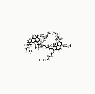 CC1(C)C(/C=C/C=C/C=C2/N(CCCCCC(=O)O)c3ccc4c(S(=O)(=O)O)cc(S(=O)(=O)NCCS(=O)(=O)O)cc4c3C2(C)C)=[N+](CCCS(=O)(=O)O)c2ccc3c(S(=O)(=O)O)cc(S(=O)(=O)NCCS(=O)(=O)O)cc3c21